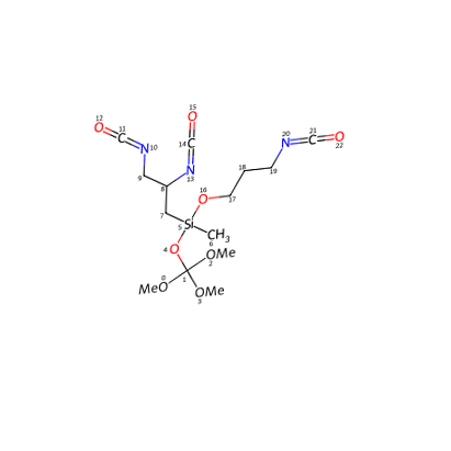 COC(OC)(OC)O[Si](C)(CC(CN=C=O)N=C=O)OCCCN=C=O